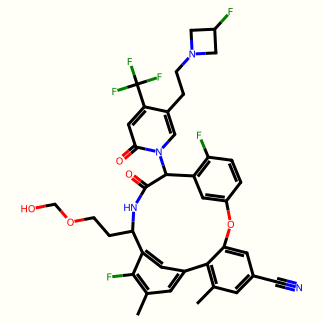 Cc1cc2cc(c1F)C(CCOCO)NC(=O)C(n1cc(CCN3CC(F)C3)c(C(F)(F)F)cc1=O)c1cc(ccc1F)Oc1cc(C#N)cc(C)c1-2